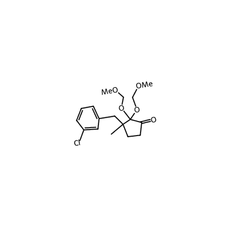 COCOC1(OCOC)C(=O)CCC1(C)Cc1cccc(Cl)c1